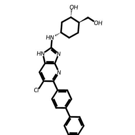 OC[C@H]1CC[C@H](Nc2nc3nc(-c4ccc(-c5ccccc5)cc4)c(Cl)cc3[nH]2)C[C@@H]1O